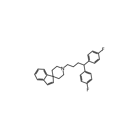 Fc1ccc(C(CCCN2CCC3(C=Cc4ccccc43)CC2)c2ccc(F)cc2)cc1